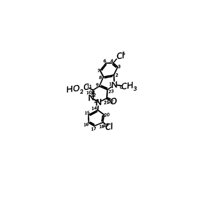 Cn1c2cc(Cl)ccc2c2c(C(=O)O)nn(-c3cccc(Cl)c3)c(=O)c21